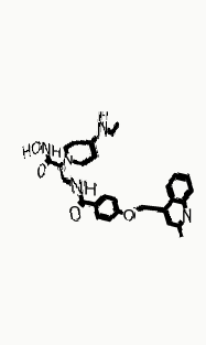 CCNC1CCN([C@@H](CNC(=O)c2ccc(OCc3cc(C)nc4ccccc34)cc2)C(=O)NO)CC1